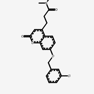 CN(C)C(=O)CCc1cc(=O)oc2cc(OCc3cccc(Cl)c3)ccc12